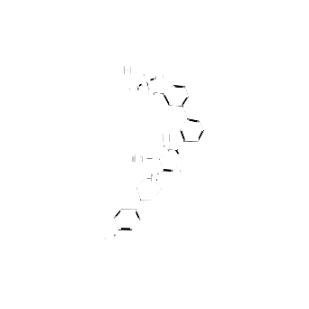 CC(C)[C@@H](NC(=O)c1cccc(-c2cccc(NS(C)(=O)=O)c2)c1)C(=O)N1CCC(c2ccc(Cl)cc2)CC1